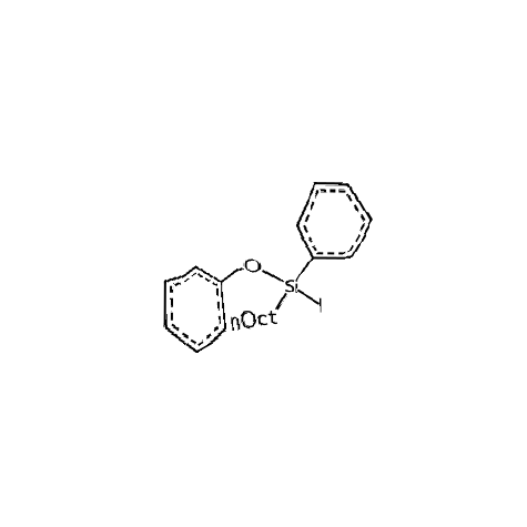 CCCCCCCC[Si](I)(Oc1ccccc1)c1ccccc1